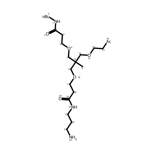 CCCCNC(=O)CCOCC(C)(COCCC(C)=O)COCCC(=O)NCCCN